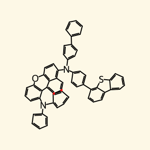 c1ccc(-c2ccc(N(c3ccc(-c4cccc5c4sc4ccccc45)cc3)c3ccc4c5c(cccc35)-c3c(cccc3N(c3ccccc3)c3ccccc3)O4)cc2)cc1